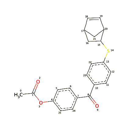 CC(=O)Oc1ccc(C(=O)c2ccc(SC3CC4C=CC3C4)cc2)cc1